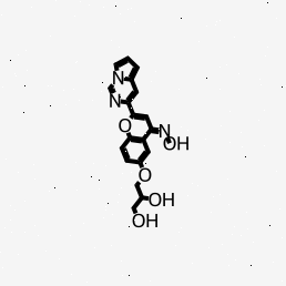 OCC(O)COc1ccc2oc(-c3cc4cccn4cn3)c/c(=N/O)c2c1